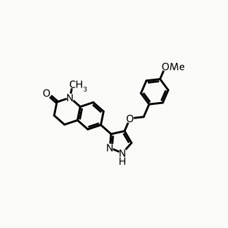 COc1ccc(COc2c[nH]nc2-c2ccc3c(c2)CCC(=O)N3C)cc1